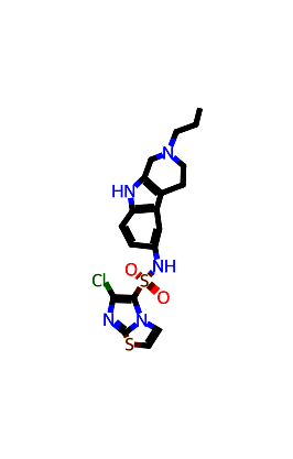 CCCN1CCc2c([nH]c3ccc(NS(=O)(=O)c4c(Cl)nc5sccn45)cc23)C1